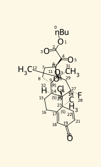 CCCCOC(=O)C(=O)[C@@]12CC[C@@]3(OC(C)O1)[C@@H]1CCC4=CC(=O)C=C[C@]4(C)[C@@]1(Cl)[C@@H](F)C[C@]23C